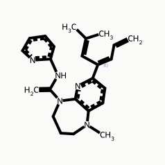 C=C/C=C(\C=C(C)C)c1ccc2c(n1)N(C(=C)Nc1ccccn1)CCCN2C